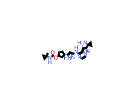 CC1(NC(=O)O[C@@H]2CC[C@H](c3cc(Nc4nccn5nc(C6(N)CC6)cc45)n[nH]3)C2)CC1